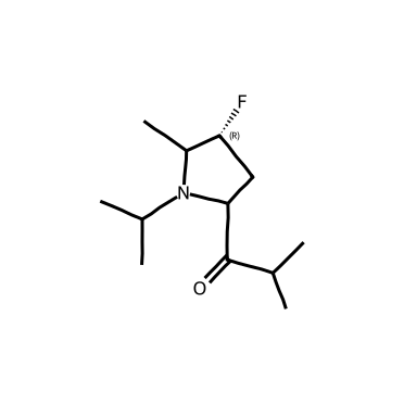 CC(C)C(=O)C1C[C@@H](F)C(C)N1C(C)C